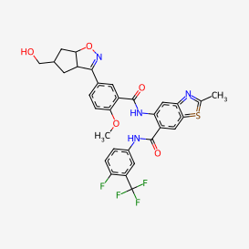 COc1ccc(C2=NOC3CC(CO)CC23)cc1C(=O)Nc1cc2nc(C)sc2cc1C(=O)Nc1ccc(F)c(C(F)(F)F)c1